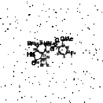 COc1cc(F)ccc1S(=O)(=O)Nc1cc(Br)c2c(c1)C1(CCC1)C(=O)N2